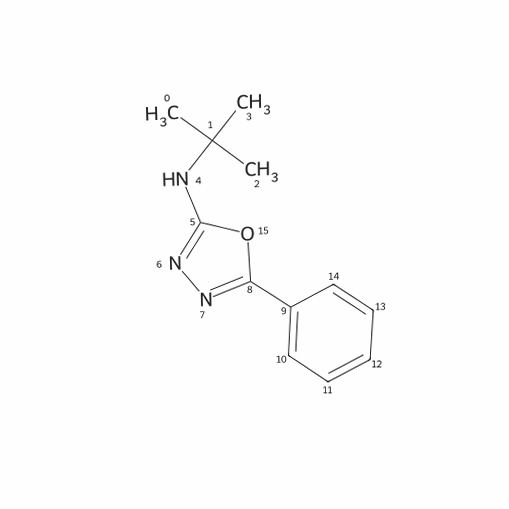 CC(C)(C)Nc1nnc(-c2ccccc2)o1